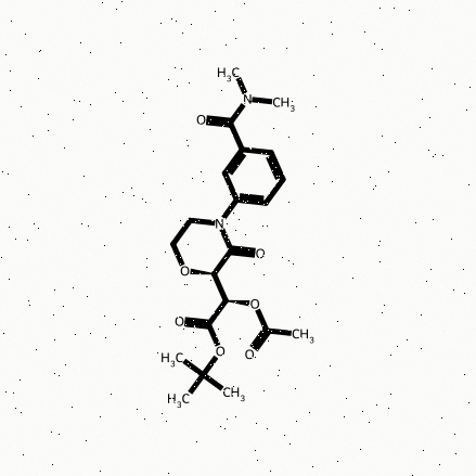 CC(=O)O[C@@H](C(=O)OC(C)(C)C)[C@H]1OCCN(c2cccc(C(=O)N(C)C)c2)C1=O